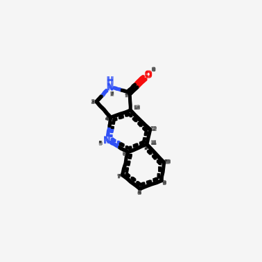 O=C1NCc2nc3ccccc3cc21